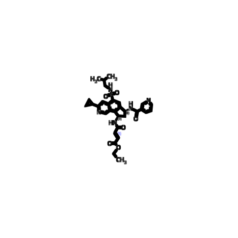 CCOC(=O)/C=C/C(=O)N[C@@H]1C[C@@H](NC(=O)c2cccnc2)c2cc(S(=O)(=O)NCC(C)C)c3cc(C4CC4)ncc3c21